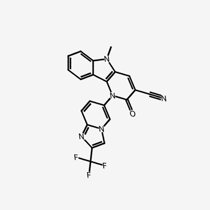 Cn1c2ccccc2c2c1cc(C#N)c(=O)n2-c1ccc2nc(C(F)(F)F)cn2c1